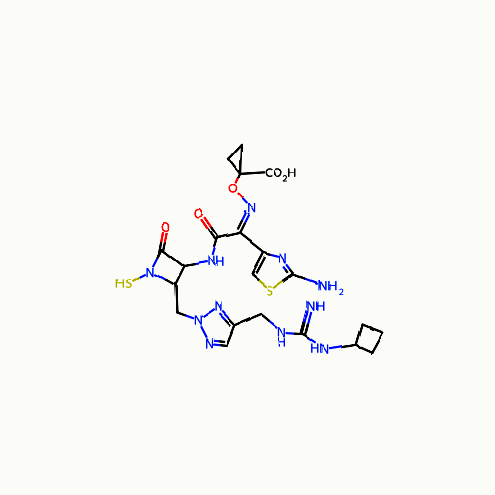 N=C(NCc1cnn(CC2C(NC(=O)/C(=N\OC3(C(=O)O)CC3)c3csc(N)n3)C(=O)N2S)n1)NC1CCC1